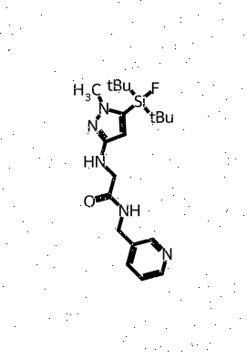 Cn1nc(NCC(=O)NCc2cccnc2)cc1[Si](F)(C(C)(C)C)C(C)(C)C